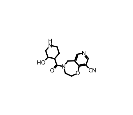 N#Cc1cncc2c1OCCN(C(=O)C1CCNCC1O)C2